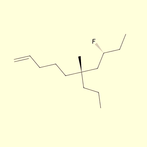 C=CCCC[C@@](C)(CCC)C[C@H](F)CC